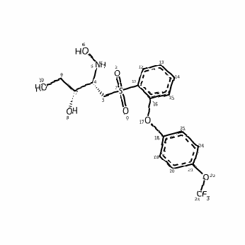 O=S(=O)(C[C@@H](NO)[C@H](O)CO)c1ccccc1Oc1ccc(OC(F)(F)F)cc1